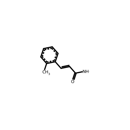 Cc1ccccc1C=CC([NH])=O